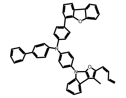 C=C/C=C\c1oc2c(c1C)c1ccccc1n2-c1ccc(N(c2ccc(-c3ccccc3)cc2)c2ccc(-c3cccc4c3oc3ccccc34)cc2)cc1